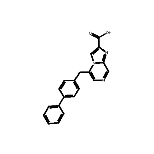 O=C(O)c1cn2c(Cc3ccc(-c4ccccc4)cc3)cncc2n1